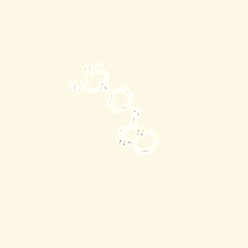 CCN(CC)c1ccc(N=c2snc3ccccn23)cc1